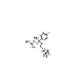 Cc1ccc(C(C#N)(CCN2CC3CCC(CC3)C2)CCN(C(C)C)C(C)C)cc1